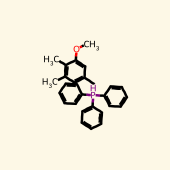 COc1cc(C[PH](c2ccccc2)(c2ccccc2)c2ccccc2)cc(C)c1C